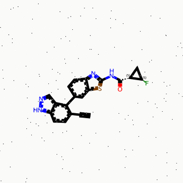 C#Cc1ccc2[nH]ncc2c1-c1ccc2nc(NC(=O)[C@@H]3C[C@@H]3F)sc2c1